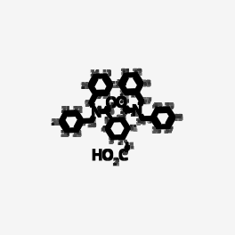 O=C(O)C[C@@H]1CC[C@@H](C(=O)N(Cc2ccccc2)Cc2ccccc2)[C@H](C(=O)N(Cc2ccccc2)Cc2ccccc2)C1